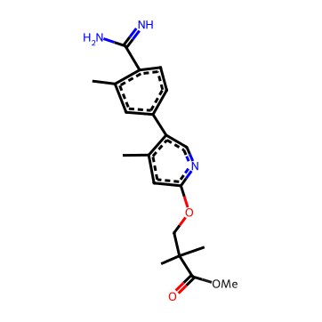 COC(=O)C(C)(C)COc1cc(C)c(-c2ccc(C(=N)N)c(C)c2)cn1